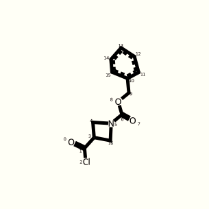 O=C(Cl)C1CN(C(=O)OCc2ccccc2)C1